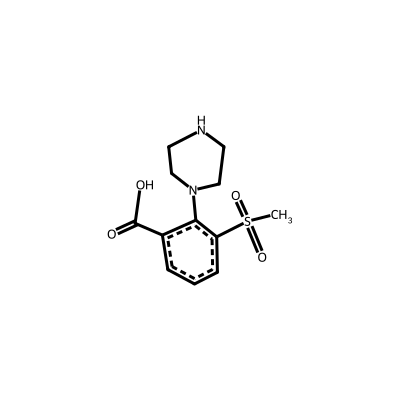 CS(=O)(=O)c1cccc(C(=O)O)c1N1CCNCC1